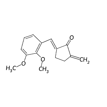 C=C1CCC(=Cc2cccc(OC)c2OC)C1=O